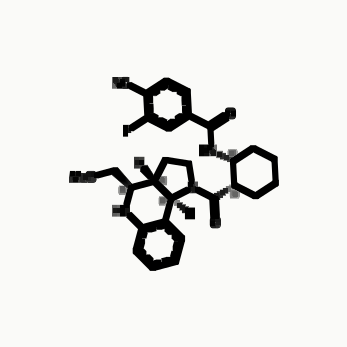 COC[C@@H]1Nc2ccccc2[C@H]2[C@H]1CCN2C(=O)[C@H]1CCCC[C@H]1NC(=O)c1ccc(C#N)c(F)c1